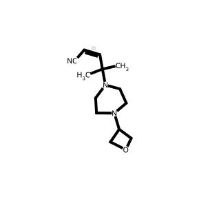 CC(C)(/C=C\C#N)N1CCN(C2COC2)CC1